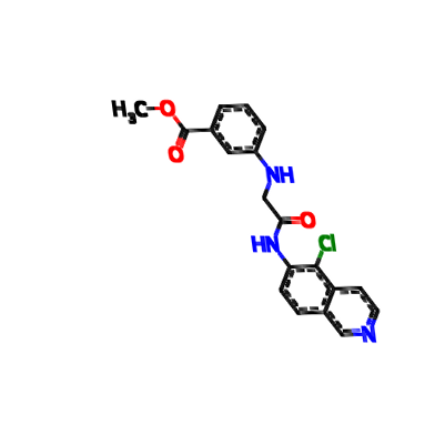 COC(=O)c1cccc(NCC(=O)Nc2ccc3cnccc3c2Cl)c1